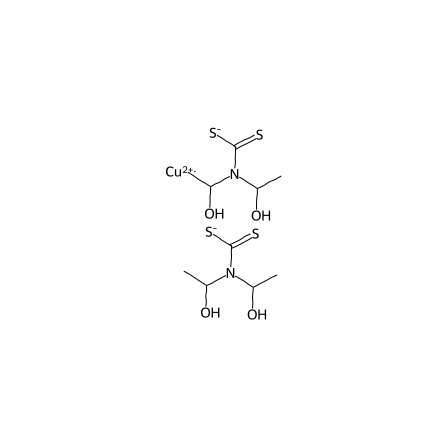 CC(O)N(C(=S)[S-])C(C)O.CC(O)N(C(=S)[S-])C(C)O.[Cu+2]